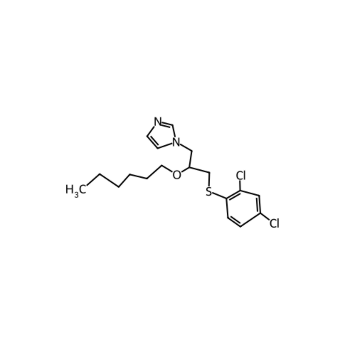 CCCCCCOC(CSc1ccc(Cl)cc1Cl)Cn1ccnc1